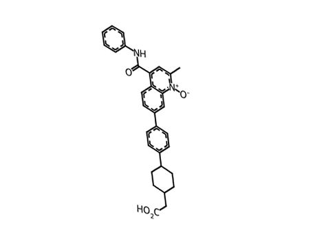 Cc1cc(C(=O)Nc2ccccc2)c2ccc(-c3ccc(C4CCC(CC(=O)O)CC4)cc3)cc2[n+]1[O-]